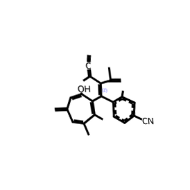 C=C=C(C)/C(C(=C)C)=C(\C1=C(C)C(C)=CC(=C)C=C1O)c1ccc(C#N)cc1C